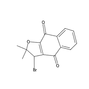 CC1(C)OC2=C(C(=O)c3ccccc3C2=O)C1Br